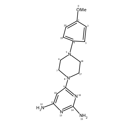 COc1ccc(N2CCN(c3cc(N)nc(N)n3)CC2)cc1